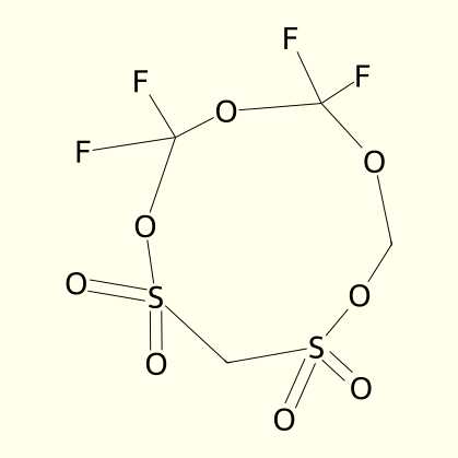 O=S1(=O)CS(=O)(=O)OC(F)(F)OC(F)(F)OCO1